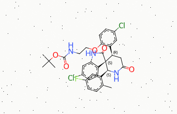 Cc1ccc(F)cc1[C@@H]1NC(=O)C[C@H](c2cc(Cl)ccc2OCCNC(=O)OC(C)(C)C)[C@@]12C(=O)Nc1cc(Cl)ccc12